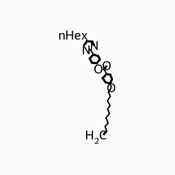 C=CCCCCCCCCCOc1ccc(C(=O)Oc2ccc(-c3ncc(CCCCCC)cn3)cc2)cc1